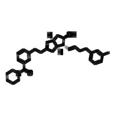 Cc1cccc(CC/C=C/[C@@H]2[C@H]3CC(CCc4cccc(C(=O)N5CCCCC5)c4)=C[C@H]3C[C@H]2O)c1